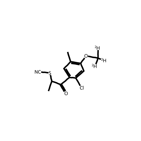 [2H]C([2H])([2H])Oc1cc(Cl)c(C(=O)C(C)SC#N)cc1C